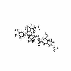 COc1cc(C(=O)NCC(O)(c2cc3c(c(-c4ccc(F)c(Cl)c4)n2)OC[C@]3(C)C(N)=O)C(F)(F)F)cc2cc(C3CC3)cnc12